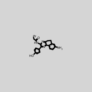 CC(C)CC(=O)Nc1nc2c(nc1-c1ccc(O)cc1)-c1ccc(N)cc1CC2